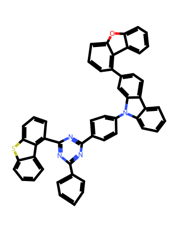 c1ccc(-c2nc(-c3ccc(-n4c5ccccc5c5ccc(-c6cccc7oc8ccccc8c67)cc54)cc3)nc(-c3cccc4sc5ccccc5c34)n2)cc1